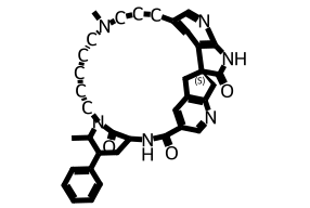 CC1C(c2ccccc2)CC2NC(=O)c3cnc4c(c3)C[C@@]3(C4)C(=O)Nc4ncc(cc43)CCCN(C)CCCCCN1C2=O